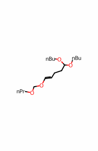 CCCCOC(CCC=COCOCCC)OCCCC